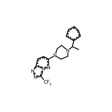 CC(c1ccccc1)N1CCN(c2ccc3nnc(C(F)(F)F)n3n2)CC1